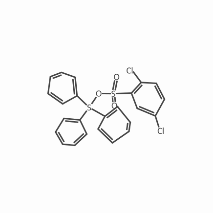 O=S(=O)(OS(c1ccccc1)(c1ccccc1)c1ccccc1)c1cc(Cl)ccc1Cl